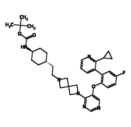 CC(C)(C)OC(=O)N[C@H]1CC[C@H](CCN2CC3(C2)CN(c2ncncc2Oc2ccc(F)cc2-c2cccnc2C2CC2)C3)CC1